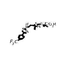 Cc1nc(SC(C)(C)C(=O)O)sc1CCNc1ncc(-c2ccc(C(F)(F)F)cc2)cn1